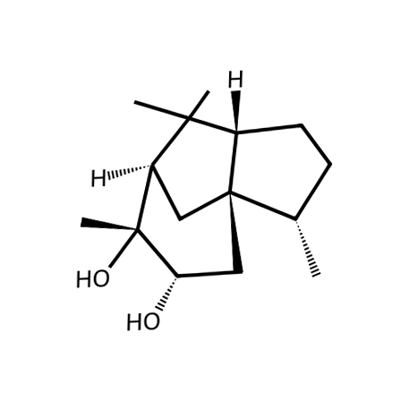 C[C@H]1CC[C@H]2C(C)(C)[C@H]3C[C@@]12C[C@H](O)[C@]3(C)O